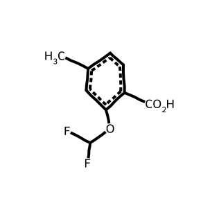 Cc1ccc(C(=O)O)c(OC(F)F)c1